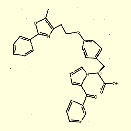 Cc1oc(-c2ccccc2)nc1CCOc1ccc(C[C@@H](C(=O)O)n2cccc2C(=O)c2ccccc2)cc1